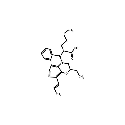 CC=Cc1cccc2c1OC(CC)CN2N(c1ccccc1)[C@@H](CCSC)C(=O)O